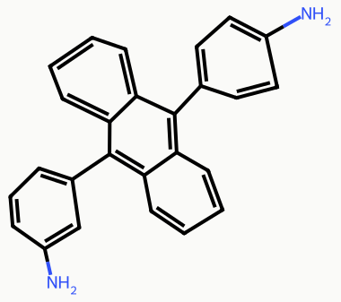 Nc1ccc(-c2c3ccccc3c(-c3cccc(N)c3)c3ccccc23)cc1